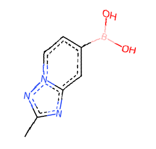 Cc1nc2cc(B(O)O)ccn2n1